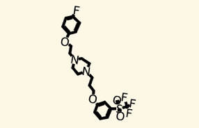 O=S(=O)(c1cccc(OCCCN2CCN(CCOc3ccc(F)cc3)CC2)c1)C(F)(F)F